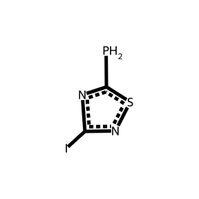 Pc1nc(I)ns1